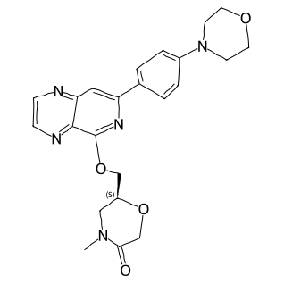 CN1C[C@@H](COc2nc(-c3ccc(N4CCOCC4)cc3)cc3nccnc23)OCC1=O